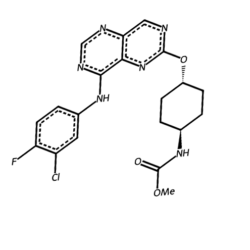 COC(=O)N[C@H]1CC[C@H](Oc2ncc3ncnc(Nc4ccc(F)c(Cl)c4)c3n2)CC1